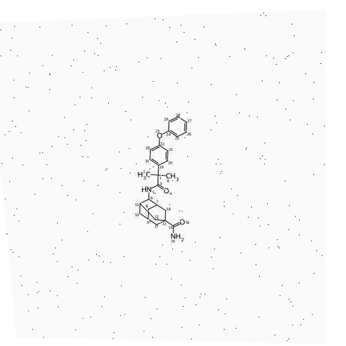 CC(C)(C(=O)NC1C2CC3CC1CC(C(N)=O)(C3)C2)c1ccc(Oc2ccccc2)cc1